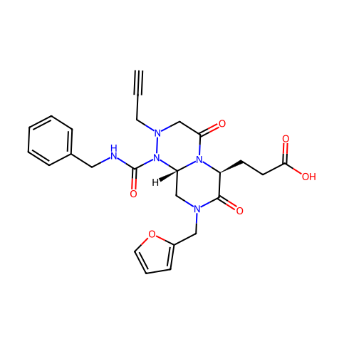 C#CCN1CC(=O)N2[C@@H](CCC(=O)O)C(=O)N(Cc3ccco3)C[C@@H]2N1C(=O)NCc1ccccc1